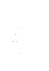 CN1CC[C@@](C)(C#Cc2cccc(-c3ccc(F)c(C(N)=O)n3)c2)C1=O